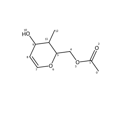 CC(=O)OCC1OC=CC(O)C1C